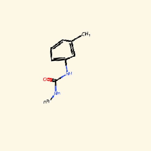 CCCNC(=O)Nc1cccc(C)c1